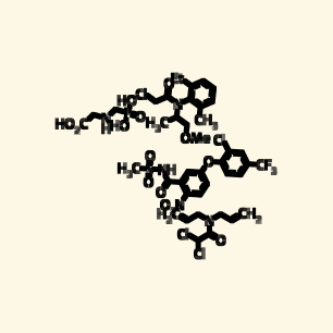 C=CCN(CC=C)C(=O)C(Cl)Cl.CCc1cccc(C)c1N(C(=O)CCl)C(C)COC.CS(=O)(=O)NC(=O)c1cc(Oc2ccc(C(F)(F)F)cc2Cl)ccc1[N+](=O)[O-].O=C(O)CNCP(=O)(O)O